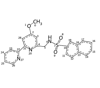 COc1cc(CNS(=O)(=O)c2ccc3ccccc3c2)nc(-c2ccccn2)c1